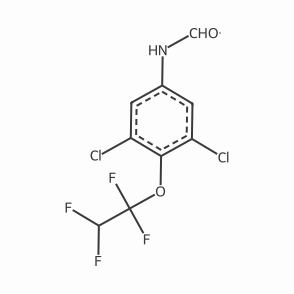 O=[C]Nc1cc(Cl)c(OC(F)(F)C(F)F)c(Cl)c1